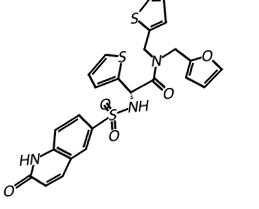 O=C([C@H](NS(=O)(=O)c1ccc2[nH]c(=O)ccc2c1)c1cccs1)N(Cc1ccco1)Cc1cccs1